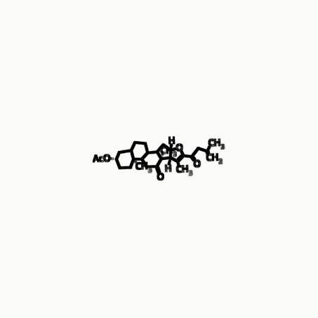 C=C(C)CC(=O)C1=C(C)[C@H]2[C@H](CC3C4CCC5C[C@@H](OC(C)=O)CC[C@]5(C)C4CC(=O)[C@@]32C)O1